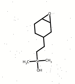 C[Si](C)(O)CCC1CCC2OC2C1